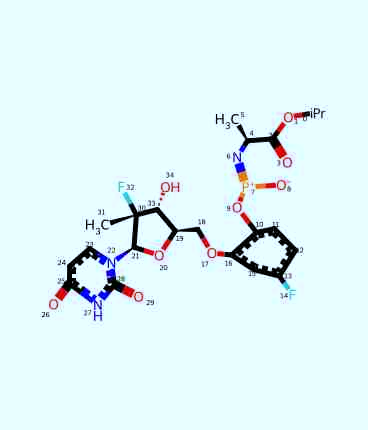 CC(C)OC(=O)[C@H](C)/N=[P+](\[O-])Oc1ccc(F)cc1OC[C@H]1O[C@@H](n2ccc(=O)[nH]c2=O)[C@](C)(F)[C@@H]1O